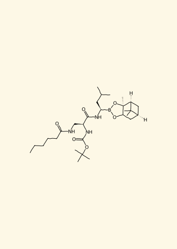 CCCCCC(=O)NC[C@H](NC(=O)OC(C)(C)C)C(=O)N[C@@H](CC(C)C)B1OC2C[C@@H]3C[C@@H](C3(C)C)[C@]2(C)O1